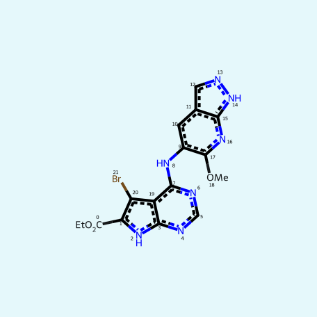 CCOC(=O)c1[nH]c2ncnc(Nc3cc4cn[nH]c4nc3OC)c2c1Br